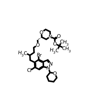 CC(CCOC[C@H]1CN(C(=O)OC(C)(C)C)CCO1)Cc1c(Cl)cc2c(cnn2C2CCCCO2)c1Br